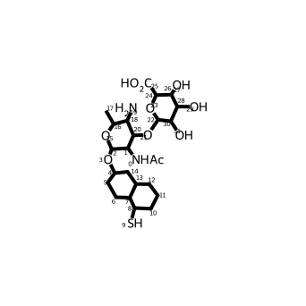 CC(=O)NC1C(OC2CCC3C(S)CCCC3C2)OC(C)C(N)C1OC1OC(C(=O)O)C(O)C(O)C1O